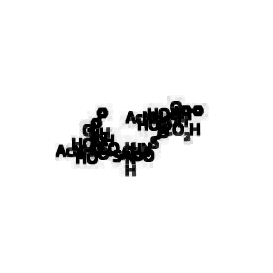 CC(=O)N[C@@H]1[C@H]([C@H](O)[C@@H](O)CNC(=O)c2ccc(-c3ccccc3)cc2)O[C@@](OCCCSCCNC(=O)c2ccc(NC(=O)CCSCCCO[C@]3(C(=O)O)C[C@H](O)[C@@H](NC(C)=O)[C@H]([C@H](O)[C@H](O)CNC(=O)c4ccc(-c5ccccc5)cc4)O3)cc2)(C(=O)O)C[C@@H]1O